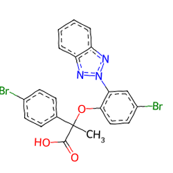 CC(Oc1ccc(Br)cc1-n1nc2ccccc2n1)(C(=O)O)c1ccc(Br)cc1